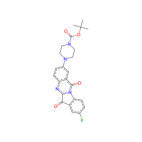 CC(C)(C)OC(=O)N1CCN(c2ccc3nc4n(c(=O)c3c2)-c2ccc(F)cc2C4=O)CC1